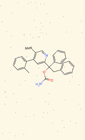 CNc1cnc(C(Cc2ccccc2)(OC(N)=O)c2ccccc2)cc1-c1ccccc1C